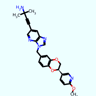 COc1ccc([C@@H]2COc3cc(Cn4cnc5cc(C#CC(C)(C)N)cnc54)ccc3O2)cn1